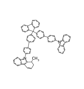 CC1CC=Cc2c1n(-c1ccc(-c3ccc(C4(c5ccc(-c6ccc(-n7c8ccccc8c8ccccc87)cc6)cc5)c5ccccc5-c5ccccc54)cc3)cc1)c1ccccc21